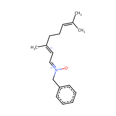 CC(C)=CCC/C(C)=C/C=[N+](\[O-])Cc1ccccc1